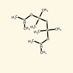 C[SiH](C)O[Si](C)(C)S[Si](C)(C)O[SiH](C)C